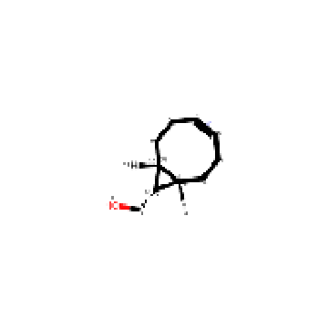 OC[C@H]1[C@H]2CC/C=C\CC[C@@H]12